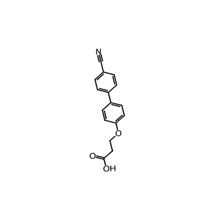 N#Cc1ccc(-c2ccc(OCCC(=O)O)cc2)cc1